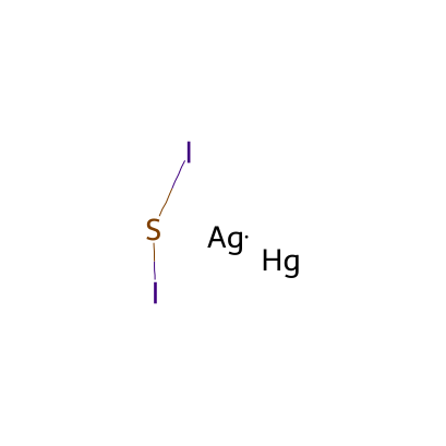 ISI.[Ag].[Hg]